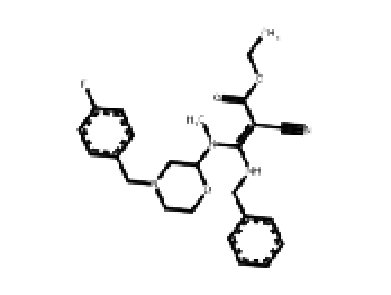 CCOC(=O)/C(C#N)=C(/NCc1ccccc1)N(C)C1CN(Cc2ccc(F)cc2)CCO1